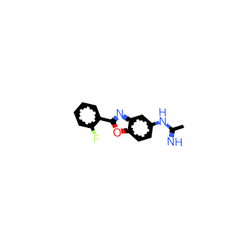 CC(=N)Nc1ccc2oc(-c3ccccc3F)nc2c1